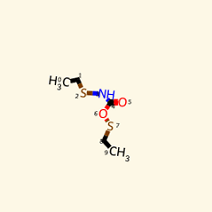 CCSNC(=O)OSCC